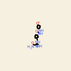 COc1ccc(NC(=O)Nc2cccc(CNc3c[nH]nc3C(N)=O)c2)cc1